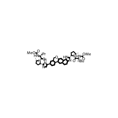 CC[C@H](C)[C@H](NC(=O)OC)C(=O)N1[C@@H](C)CC[C@H]1c1nc2ccc3cc4c(cc3c2[nH]1)OCc1cc(-c2cnc([C@@H]3CC[C@H](C)N3C(=O)[C@@H](NC(=O)OC)C(C)C)[nH]2)ccc1-4